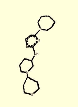 c1cc(N2CCCCCC2)nc(NC2CCCN(C3CCSCC3)C2)n1